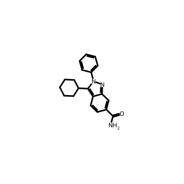 NC(=O)c1ccc2c(C3CCCCC3)n(-c3ccccc3)nc2c1